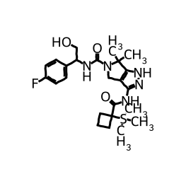 CC1(C)c2[nH]nc(NC(=O)C3(S(C)(C)C)CCC3)c2CN1C(=O)NC(CO)c1ccc(F)cc1